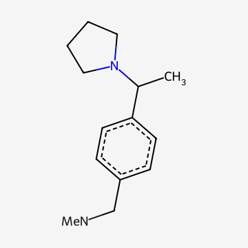 CNCc1ccc(C(C)N2CCCC2)cc1